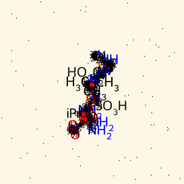 Cc1c(-c2ccc(N3CCc4cccc(C(=O)Nc5nc6ccccc6s5)c4C3)nc2C(=O)O)cnn1CC12CC3(C)CC(C)(CC(CCCN(CCS(=O)(=O)O)C(=O)OCc4ccc(N(C(=O)[C@@H](N)C(C)C)C(=O)N(C(=O)CCCCCN5C(=O)C=CC5=O)[C@@H](CCCN)C(N)=O)cc4)(C3)C1)C2